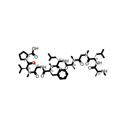 CN[C@@H](C)C(=O)N[C@@H](CC(C)C)C(=O)N(C)CC(=O)N(C)[C@@H](C)C(=O)N[C@@H](CC(C)C)C(=O)N(C)[C@@H](Cc1ccccc1)C(=O)N[C@@H](C)C(=O)N(C)[C@H](C(=O)N1CCC[C@H]1C(=O)O)C(C)C